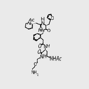 CC(=O)NCC[C@H](NC(=O)Cc1ccccc1CNC(=O)[C@H](Cc1ccco1)NC(=O)C[C@@H]1CCCCN1C(C)=O)C(=O)NCCOCCN